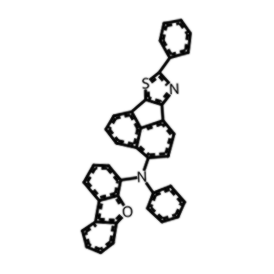 c1ccc(-c2nc3c(s2)-c2cccc4c(N(c5ccccc5)c5cccc6c5oc5ccccc56)ccc-3c24)cc1